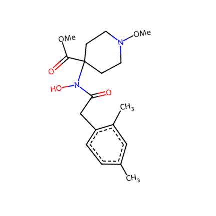 COC(=O)C1(N(O)C(=O)Cc2ccc(C)cc2C)CCN(OC)CC1